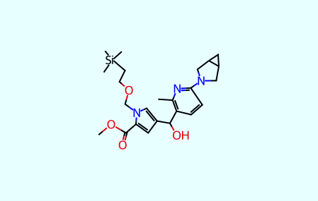 COC(=O)c1cc(C(O)c2ccc(N3CC4CC4C3)nc2C)cn1COCC[Si](C)(C)C